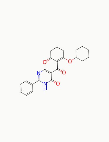 O=C1CCCC(OC2CCCCC2)=C1C(=O)c1cnc(-c2ccccc2)[nH]c1=O